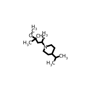 COC(C)(C)CC(C)N1CCC(C(C)C)CC1